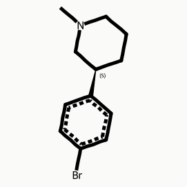 CN1CCC[C@@H](c2ccc(Br)cc2)C1